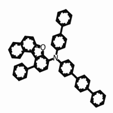 c1ccc(-c2ccc(-c3ccc(N(c4ccc(-c5ccccc5)cc4)c4ccc(-c5ccccc5)c5c4oc4ccc6ccccc6c45)cc3)cc2)cc1